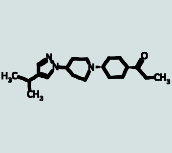 CCC(=O)[C@H]1CC[C@H](N2CCC(n3cc(C(C)C)cn3)CC2)CC1